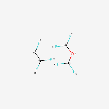 FC(F)OC(F)F.FCC(F)F